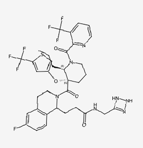 CCC[C@H]1N(C(=O)c2ncccc2C(F)(F)F)CCC[C@@]1(Oc1csc(C(F)(F)F)c1)C(=O)N1CCc2cc(F)ccc2C1CCC(=O)NCc1n[nH][nH]1